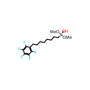 CO[Si](O)(CCCCCCCCc1c(F)c(F)c(F)c(F)c1F)OC